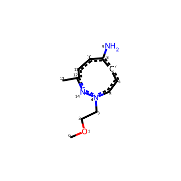 COCCn1cccc(N)ccc(C)n1